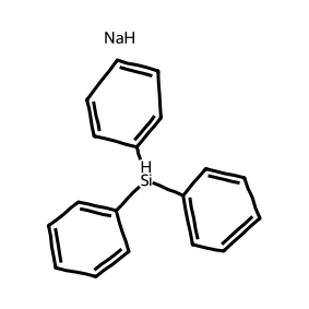 [NaH].c1ccc([SiH](c2ccccc2)c2ccccc2)cc1